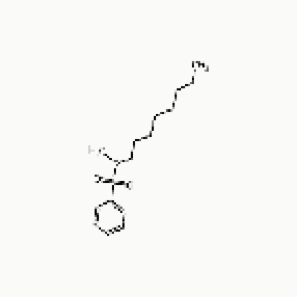 CCCCCCCCN(C)S(=O)(=O)c1ccccc1